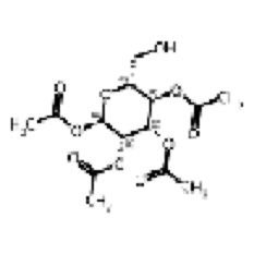 CC(=O)O[C@H]1O[C@H](CO)[C@@H](OC(C)=O)[C@H](OC(C)=O)[C@@H]1OC(C)=O